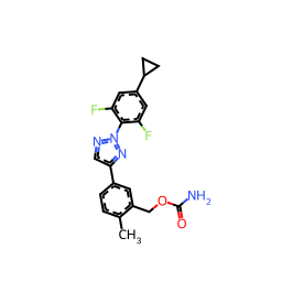 Cc1ccc(-c2cnn(-c3c(F)cc(C4CC4)cc3F)n2)cc1COC(N)=O